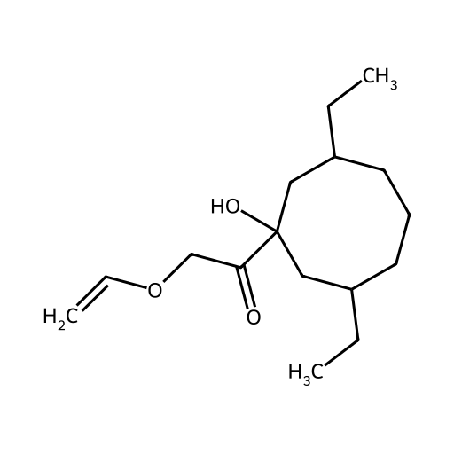 C=COCC(=O)C1(O)CC(CC)CCCC(CC)C1